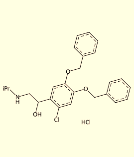 CC(C)NCC(O)c1cc(OCc2ccccc2)c(OCc2ccccc2)cc1Cl.Cl